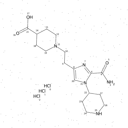 Cl.Cl.Cl.NC(=O)c1nc(CCN2CCC(C(=O)O)CC2)cn1C1CCNCC1